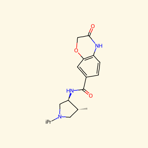 CC(C)N1C[C@@H](C)[C@H](NC(=O)c2ccc3c(c2)OCC(=O)N3)C1